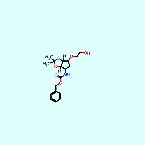 CC1(C)O[C@@H]2[C@H](O1)[C@@H](OCCO)C[C@H]2NC(=O)OCc1ccccc1